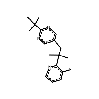 CC(C)(C)c1ncc(CC(C)(C)c2ncccc2F)cn1